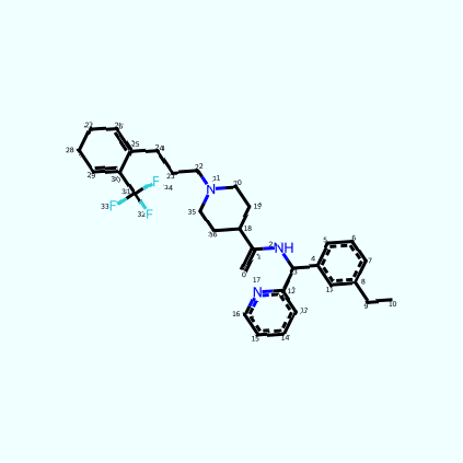 C=C(NC(c1cccc(CC)c1)c1ccccn1)C1CCN(CCCC2=CCCC=C2C(F)(F)F)CC1